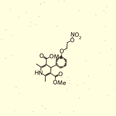 COC(=O)C1=C(C)NC(C)=C(C(=O)OC)C1c1cccc(OCCO[N+](=O)[O-])c1